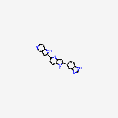 c1cc2[nH]c(-c3ccc4[nH]c(-c5ccc6[nH]cnc6c5)cc4n3)cc2cn1